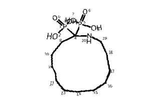 O=P(O)(O)C1(P(=O)(O)O)CCCCCCCCCCCN1